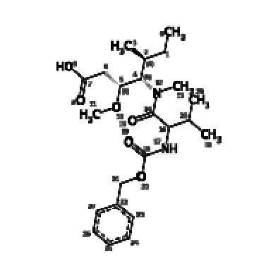 CC[C@H](C)[C@@H]([C@@H](CC(=O)O)OC)N(C)C(=O)C(NC(=O)OCc1ccccc1)C(C)C